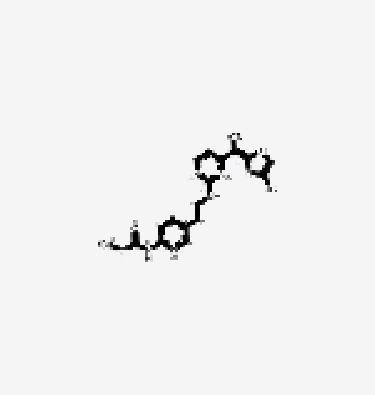 CCC1=CS/C(=C(\C#N)c2ccnc(NCCc3ccc(NC(=O)OC(C)(C)C)nc3)n2)N1